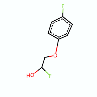 OC(F)COc1ccc(F)cc1